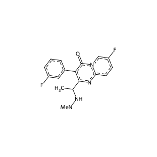 CNNC(C)c1nc2ccc(F)cn2c(=O)c1-c1cccc(F)c1